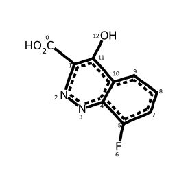 O=C(O)c1nnc2c(F)cccc2c1O